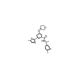 Cc1ccc(C(C)NC(=O)c2cc(O[C@@H]3CCOC3)cc(-c3ncc(C)s3)c2)cn1